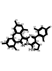 Cc1cc(C)c(-c2nc3c(-c4c(C)cc(C)cc4C)c(-c4c(C)cc(C)cc4C)nn3c3c2CCN3)c(C)c1